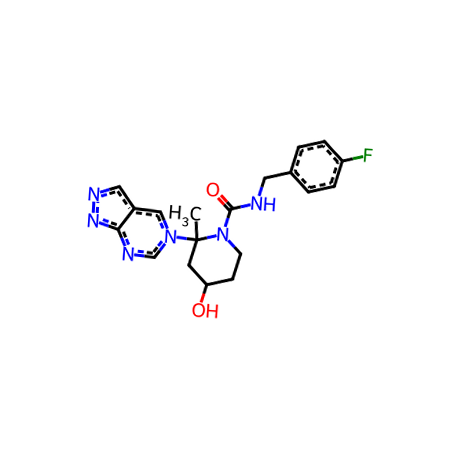 CC1(n2cnc3nncc-3c2)CC(O)CCN1C(=O)NCc1ccc(F)cc1